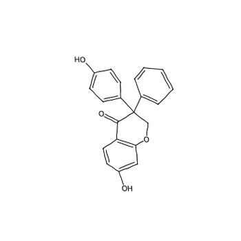 O=C1c2ccc(O)cc2OCC1(c1ccccc1)c1ccc(O)cc1